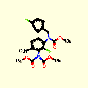 CC(C)(C)OC(=O)N(Cc1ccc(F)cc1)c1ccc([N+](=O)[O-])c(N(C(=O)OC(C)(C)C)C(=O)OC(C)(C)C)c1F